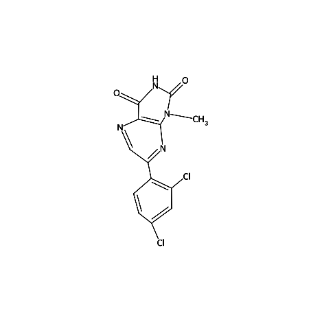 Cn1c(=O)[nH]c(=O)c2ncc(-c3ccc(Cl)cc3Cl)nc21